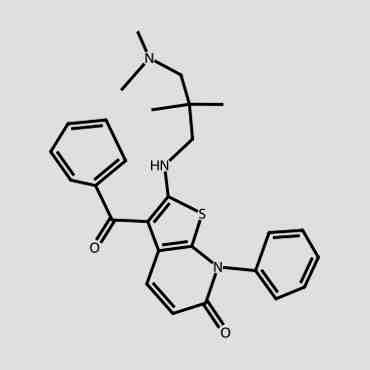 CN(C)CC(C)(C)CNc1sc2c(ccc(=O)n2-c2ccccc2)c1C(=O)c1ccccc1